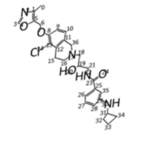 Cc1ncoc1COc1ccc2c(c1Cl)CCN(CC(O)CNC(=O)c1cccc(NC3CCC3)c1)C2